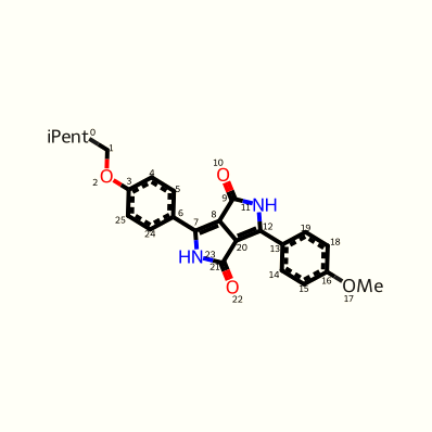 CCCC(C)COc1ccc(C2=C3C(=O)NC(c4ccc(OC)cc4)=C3C(=O)N2)cc1